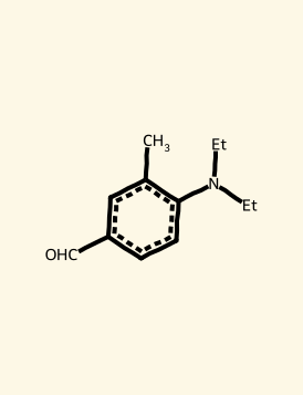 CCN(CC)c1ccc(C=O)cc1C